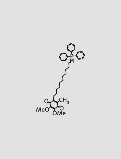 COC1=C(OC)C(=O)C(CCCCCCCCCCCC[PH](c2ccccc2)(c2ccccc2)c2ccccc2)=C(C)C1=O